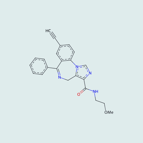 C#Cc1ccc2c(c1)C(c1ccccc1)=NCc1c(C(=O)NCCOC)ncn1-2